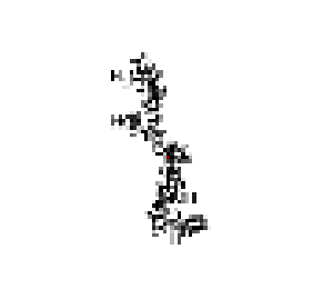 Cc1c(-c2ccc(N3CCc4cccc(C(=O)Nc5nc6ccccc6s5)c4C3)nc2C(=O)O)cnn1CC12CC3(C)CC(C)(C1)CC(OCCN(CCS(=O)(=O)O)C(=O)OCc1ccc(NC(=O)C(C)NC(=O)C(N)C(C)C)cc1)(C3)C2